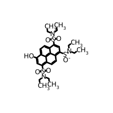 CCN(CC)[S+]([O-])c1cc(S(=O)(=O)N(CC)CC)c2ccc3c(O)cc(S(=O)(=O)N(CC)CC)c4ccc1c2c34